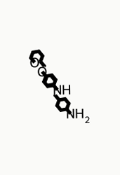 NC1CCC(CNc2ccc(OCC3CCCCO3)cc2)CC1